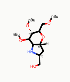 CCCCOCC1O[C@@H]2C[C@@H](CO)NC2C(OCCCC)[C@@H]1OCCCC